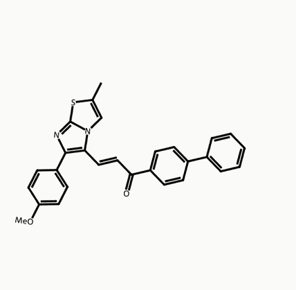 COc1ccc(-c2nc3sc(C)cn3c2C=CC(=O)c2ccc(-c3ccccc3)cc2)cc1